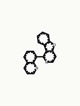 c1cnc2c(-c3nccc4oc5ccccc5c34)cccc2c1